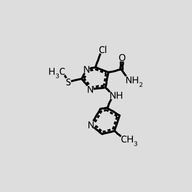 CSc1nc(Cl)c(C(N)=O)c(Nc2cncc(C)c2)n1